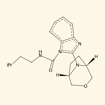 CC(C)CCNC(=O)n1c(N2[C@@H]3CC[C@H]2COC3)nc2ccccc21